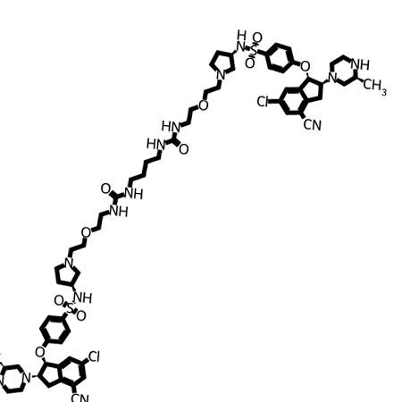 C[C@@H]1CN([C@H]2Cc3c(C#N)cc(Cl)cc3[C@@H]2Oc2ccc(S(=O)(=O)N[C@H]3CCN(CCOCCNC(=O)NCCCCNC(=O)NCCOCCN4CC[C@@H](NS(=O)(=O)c5ccc(O[C@H]6c7cc(Cl)cc(C#N)c7C[C@@H]6N6CCN[C@@H](C)C6)cc5)C4)C3)cc2)CCN1